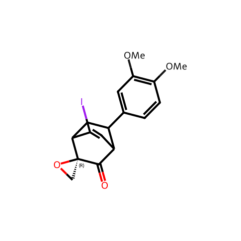 COc1ccc(C2CC3C(I)=CC2C(=O)[C@]32CO2)cc1OC